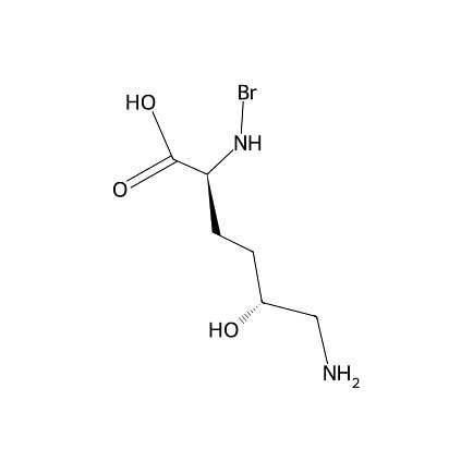 NC[C@H](O)CC[C@H](NBr)C(=O)O